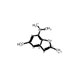 Cc1cc(N(C)C)c2oc(C)cc2c1